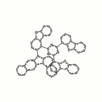 c1ccc2cc3c(cc2c1)c1c2ccccc2ccc1n3-c1ccc2oc3ccccc3c2c1-c1nc(-c2cccc3c2oc2ccccc23)nc(-c2cccc3c2oc2ccccc23)n1